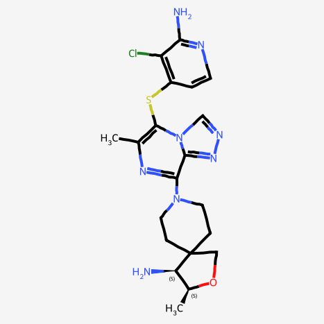 Cc1nc(N2CCC3(CC2)CO[C@@H](C)[C@H]3N)c2nncn2c1Sc1ccnc(N)c1Cl